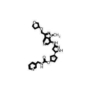 Cn1nc(COC2CCOC2)c2cncc(NC3=NNC([C@H]4CC[C@@H](OC(=O)NCc5cccnc5)C4)C3)c21